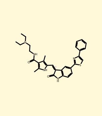 CCN(CC)CCNC(=O)c1c(C)[nH]c(/C=C2\C(=O)Nc3ccc(-c4nc(-c5ccccc5)cs4)cc32)c1C